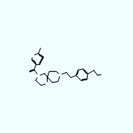 CC1=C=CC(C(=O)N2CCOC3(CCN(CCc4ccc(CCO)cc4)CC3)C2)=CS1